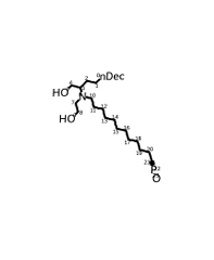 CCCCCCCCCCCCC(CO)N(CCO)CCCCCCCCCCCC#P=O